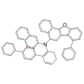 C1=CC(c2ccc(-c3ccccc3)cc2)=C(N(c2ccc3ccccc3c2)c2cc3c(oc4cccc(-c5ccccc5)c43)c3ccccc23)CC1